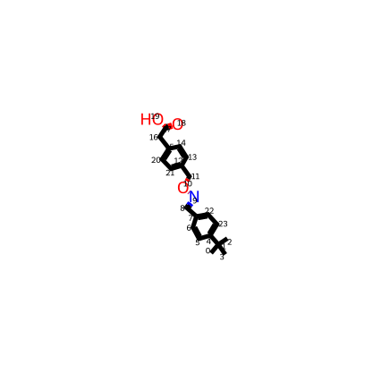 CC(C)(C)c1ccc(/C=N/OCc2ccc(CC(=O)O)cc2)cc1